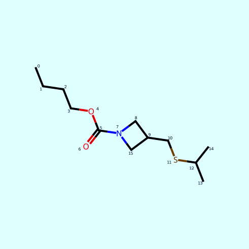 CCCCOC(=O)N1CC(CSC(C)C)C1